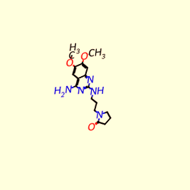 COc1cc2nc(NCCCN3CCCC3=O)nc(N)c2cc1OC